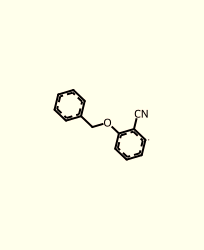 N#Cc1[c]cccc1OCc1ccccc1